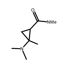 CNC(=O)C1CC1(C)N(C)C